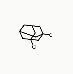 ClC12CC3CC(C1)CC(Cl)(C3)C2